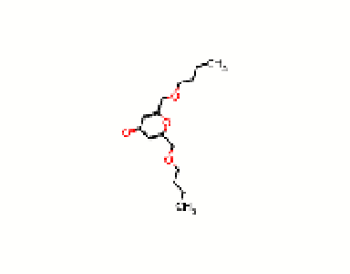 CCCCOCc1cc(=O)cc(COCCCC)o1